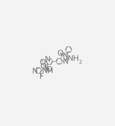 COc1ncc(-c2ccc3nc(N)n(-c4ccccc4)c(=O)c3c2)cc1S(=O)(=O)Nc1ccncc1F